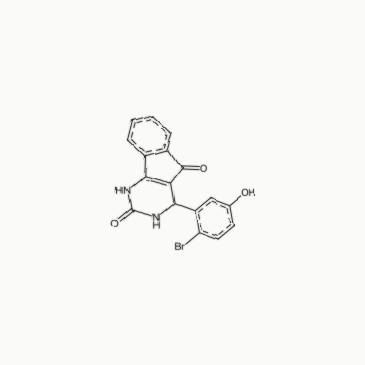 O=C1NC2=C(C(=O)c3ccccc32)C(c2cc(O)ccc2Br)N1